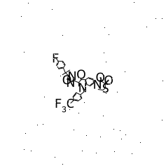 CC(C)(c1ccc(F)cc1)c1nc(-c2cn(Cc3ccc(C(F)(F)F)cc3)c3cc(N4CCSC(=O)C4=O)ccc3c2=O)no1